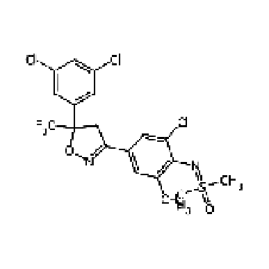 Cc1cc(C2=NOC(c3cc(Cl)cc(Cl)c3)(C(F)(F)F)C2)cc(Cl)c1N=S(C)(C)=O